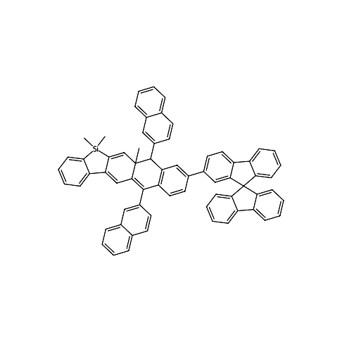 CC12C=C3C(=CC1=C(c1ccc4ccccc4c1)c1ccc(-c4ccc5c(c4)C4(c6ccccc6-c6ccccc64)c4ccccc4-5)cc1C2c1ccc2ccccc2c1)c1ccccc1[Si]3(C)C